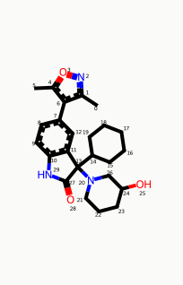 Cc1noc(C)c1-c1ccc2c(c1)C(C1CCCCC1)(N1CCCC(O)C1)C(=O)N2